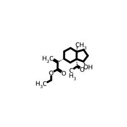 C=C(C(=O)OCC)[C@@H]1CC[C@@]2(C)CC[C@H](O)[C@@]2(C(C)=O)C1